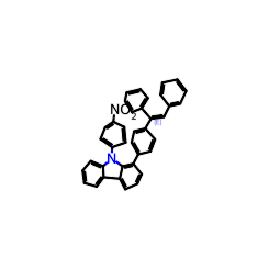 O=[N+]([O-])c1ccc(-n2c3ccccc3c3cccc(-c4ccc(/C(=C/c5ccccc5)c5ccccc5)cc4)c32)cc1